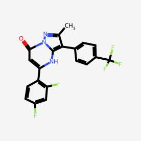 Cc1nn2c(=O)cc(-c3ccc(F)cc3F)[nH]c2c1-c1ccc(C(F)(F)F)cc1